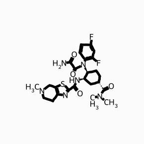 CN1CCc2nc(C(=O)N[C@@H]3C[C@@H](C(=O)N(C)C)CC[C@@H]3N(C(=O)C(N)=O)c3ccc(F)cc3F)sc2C1